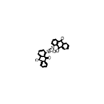 O=C1c2ccccc2C(=O)c2c(/N=C/N(O)c3cccc4c3C(=O)c3ccccc3C4=O)cccc21